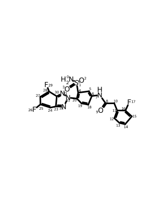 NS(=O)(=O)c1cc(NC(=O)Cc2ccccc2F)ccc1-n1nc2cc(F)cc(F)c2n1